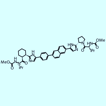 COC(=O)N[C@H](C(=O)N1CCC[C@H]1c1ncc(-c2ccc3cc(-c4ccc(-c5cnc([C@@H]6CCCC[C@@H]6C(=O)N(NC(=O)OC)C(C)C)[nH]5)cc4)ccc3c2)[nH]1)C(C)C